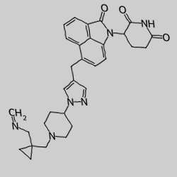 C=NCC1(CN2CCC(n3cc(Cc4ccc5c6c(cccc46)C(=O)N5C4CCC(=O)NC4=O)cn3)CC2)CC1